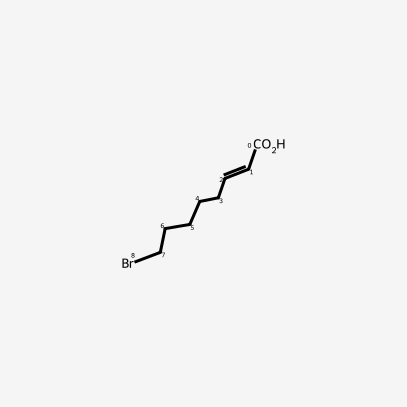 O=C(O)C=CCCCCCBr